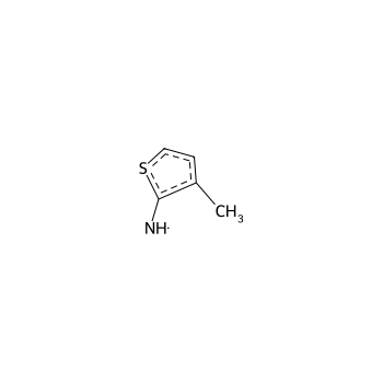 Cc1ccsc1[NH]